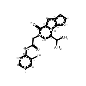 CC(C)c1nn(CC(=O)Nc2ncncc2F)c(=O)c2cc3ccsc3n12